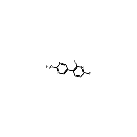 Cc1ncc(-c2ccc(F)nc2F)cn1